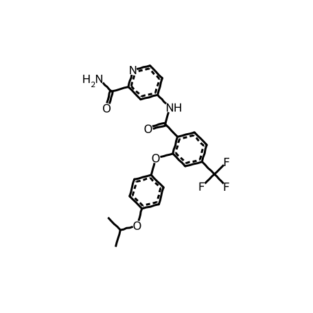 CC(C)Oc1ccc(Oc2cc(C(F)(F)F)ccc2C(=O)Nc2ccnc(C(N)=O)c2)cc1